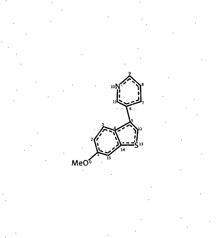 COc1ccc2c(-c3cccnc3)csc2c1